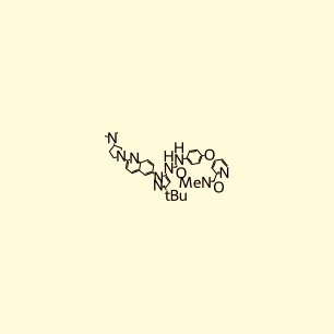 CNC(=O)c1cc(Oc2ccc(NC(=O)Nc3cc(C(C)(C)C)nn3-c3ccc4nc(N5CC[C@@H](N(C)C)C5)ccc4c3)cc2)ccn1